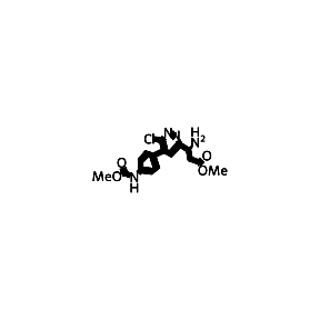 COC(=O)C[C@H](N)c1cc(-c2ccc(NC(=O)OC)cc2)c(Cl)nn1